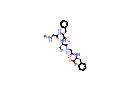 CCNCC(=O)N[C@@H](Cc1ccccc1)C(=O)N[C@@H](CC(C)C)C(=O)NCC(=O)N[C@@H](Cc1ccccc1)C(=O)C(C)C